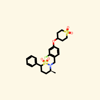 C[C@H]1CCC(c2ccccc2)S(=O)(=O)N1Cc1ccc(OC2CCS(=O)(=O)CC2)cc1F